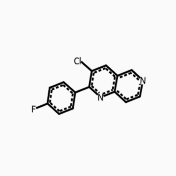 Fc1ccc(-c2nc3ccncc3cc2Cl)cc1